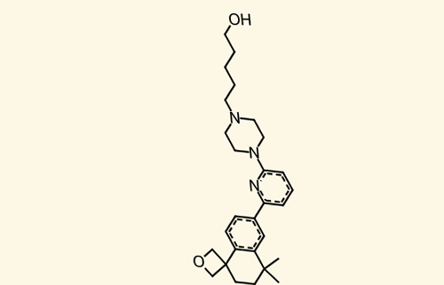 CC1(C)CCC2(COC2)c2ccc(-c3cccc(N4CCN(CCCCCO)CC4)n3)cc21